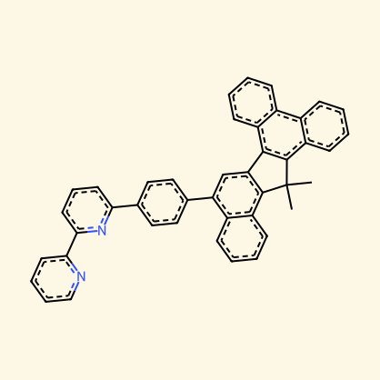 CC1(C)c2c(cc(-c3ccc(-c4cccc(-c5ccccn5)n4)cc3)c3ccccc23)-c2c1c1ccccc1c1ccccc21